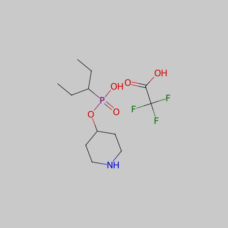 CCC(CC)P(=O)(O)OC1CCNCC1.O=C(O)C(F)(F)F